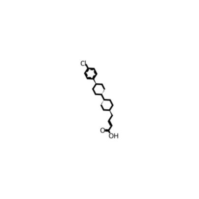 O=C(O)/C=C/C[C@H]1CC[C@H]([C@H]2CC[C@H](c3ccc(Cl)cc3)CC2)CC1